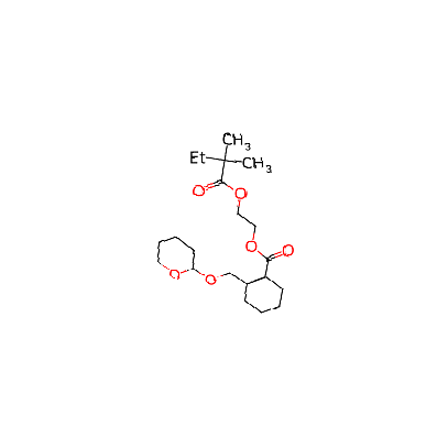 CCC(C)(C)C(=O)OCCOC(=O)C1CCCCC1COC1CCCCO1